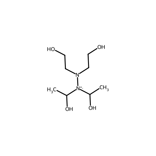 CC(O)[N+](C(C)O)N(CCO)CCO